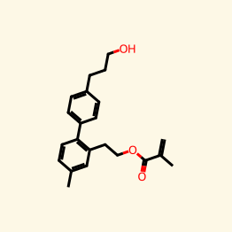 C=C(C)C(=O)OCCc1cc(C)ccc1-c1ccc(CCCO)cc1